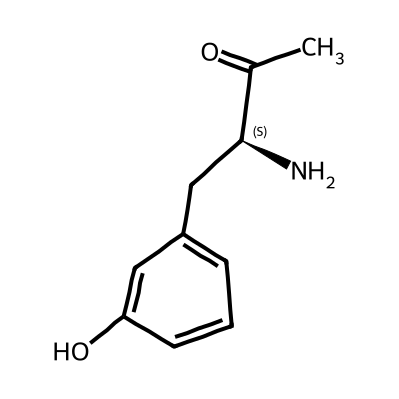 CC(=O)[C@@H](N)Cc1cccc(O)c1